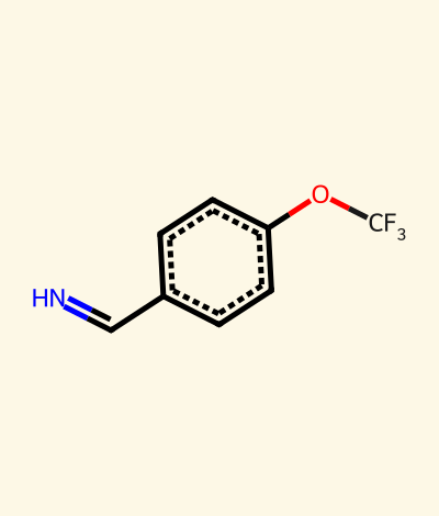 N=Cc1ccc(OC(F)(F)F)cc1